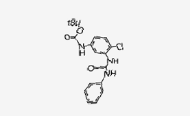 CC(C)(C)OC(=O)Nc1ccc(Cl)c(NC(=O)Nc2ccccc2)c1